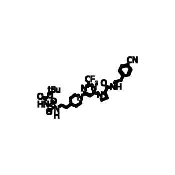 CC(C)(C)OC(=O)NS(=O)(=O)NCCC1CCN(c2cc(N3CCC3C(=O)NCCc3ccc(C#N)cc3)nc(C(F)(F)F)n2)CC1